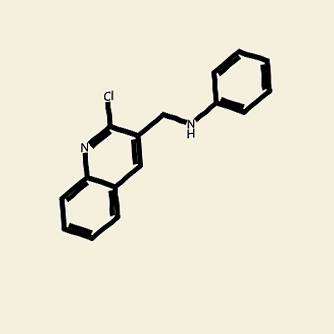 Clc1nc2ccccc2cc1CNc1ccccc1